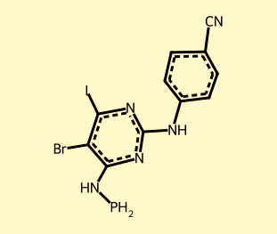 N#Cc1ccc(Nc2nc(I)c(Br)c(NP)n2)cc1